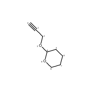 C#CCO[C]1CCCCO1